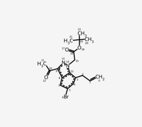 C=CCc1cc(Br)cc2c(C(C)=O)nn(CC(=O)OC(C)(C)C)c12